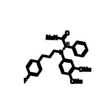 CNC(=O)[C@H](c1ccccc1)N(CCCc1ccc(F)cc1)c1ccc(OC)c(OC)c1